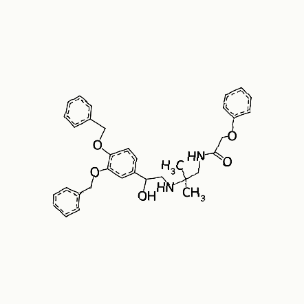 CC(C)(CNC(=O)COc1ccccc1)NCC(O)c1ccc(OCc2ccccc2)c(OCc2ccccc2)c1